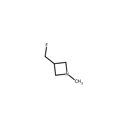 CN1CC(CF)C1